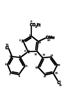 CCOC(=O)c1nn(-c2ccccc2Cl)c(-c2ccc(Cl)cc2)c1OC